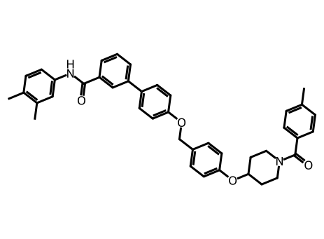 Cc1ccc(C(=O)N2CCC(Oc3ccc(COc4ccc(-c5cccc(C(=O)Nc6ccc(C)c(C)c6)c5)cc4)cc3)CC2)cc1